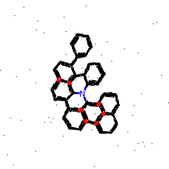 c1ccc(-c2ccccc2-c2ccccc2N(c2ccccc2)c2ccccc2-c2cccc(-c3cccc4ccccc34)c2)cc1